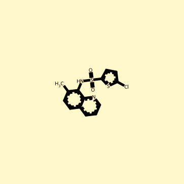 Cc1ccc2cccnc2c1NS(=O)(=O)c1ccc(Cl)s1